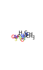 Cc1cc2c(cc1N(C)C)N=C(c1cccc(-c3csc(CO)n3)c1)C(F)(F)C(=O)N2F